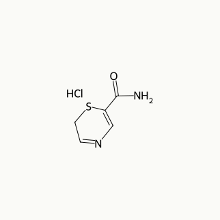 Cl.NC(=O)C1=CN=CCS1